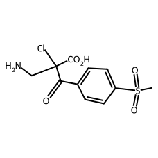 CS(=O)(=O)c1ccc(C(=O)C(Cl)(CN)C(=O)O)cc1